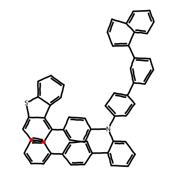 c1ccc(-c2ccc(-c3ccccc3N(c3ccc(-c4cccc(-c5cccc6ccccc56)c4)cc3)c3ccc(-c4cccc5sc6ccccc6c45)cc3)cc2)cc1